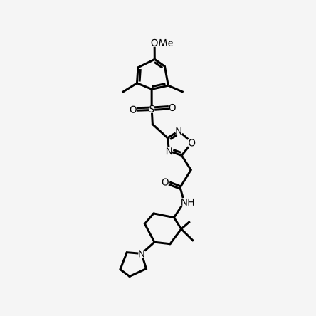 COc1cc(C)c(S(=O)(=O)Cc2noc(CC(=O)NC3CCC(N4CCCC4)CC3(C)C)n2)c(C)c1